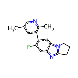 Cc1cnc(C)c(-c2cc3c(cc2F)nc2n3CCC2)c1